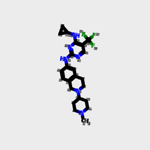 CN1CCC(N2CCc3cc(Nc4ncc(C(F)(F)F)c(NC5CC5)n4)ccc3C2)CC1